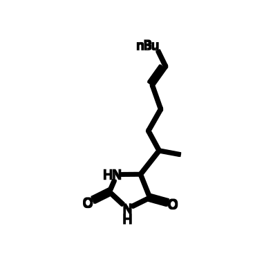 CCCCC=CCCC(C)C1NC(=O)NC1=O